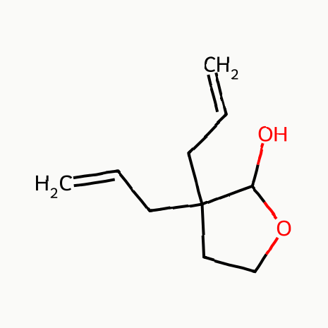 C=CCC1(CC=C)CCOC1O